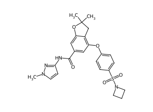 Cn1ccc(NC(=O)c2cc(Oc3ccc(S(=O)(=O)N4CCC4)cc3)c3c(c2)OC(C)(C)C3)n1